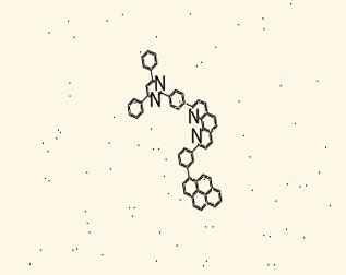 c1ccc(-c2cc(-c3ccccc3)nc(-c3ccc(-c4ccc5ccc6ccc(-c7cccc(-c8ccc9ccc%10cccc%11ccc8c9c%10%11)c7)nc6c5n4)cc3)n2)cc1